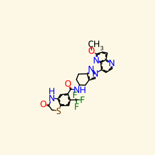 COc1ccc2nccc(-n3cc4c(n3)CCC(NC(=O)c3cc5c(cc3C(F)(F)F)SCC(=O)N5)C4)c2n1